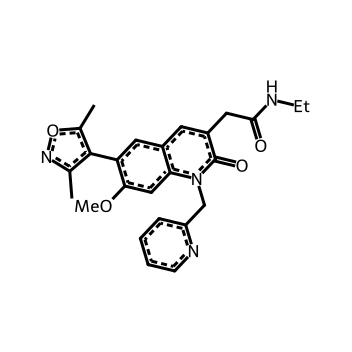 CCNC(=O)Cc1cc2cc(-c3c(C)noc3C)c(OC)cc2n(Cc2ccccn2)c1=O